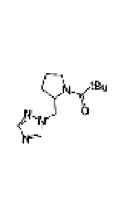 CC(C)(C)C(=O)N1CCCC1Cn1cncn1